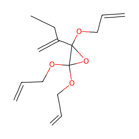 C=CCOC1(OCC=C)OC1(OCC=C)C(=C)CC